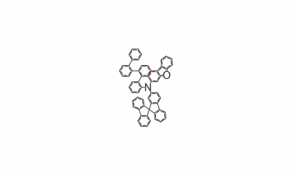 c1ccc(-c2ccccc2-c2ccccc2-c2ccccc2N(c2ccc3c(c2)C2(c4ccccc4-c4ccccc42)c2ccccc2-3)c2ccc3c(c2)oc2ccccc23)cc1